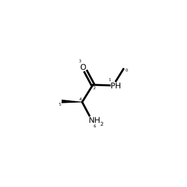 CPC(=O)[C@H](C)N